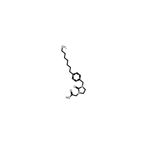 CCCCCCCCc1ccc(CN2CCN(CC(=O)O)C2=O)cc1